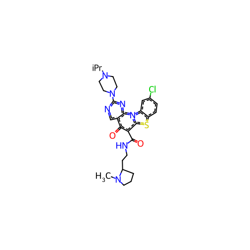 CC(C)N1CCN(c2ncc3c(=O)c(C(=O)NCCC4CCCN4C)c4sc5ccc(Cl)cc5n4c3n2)CC1